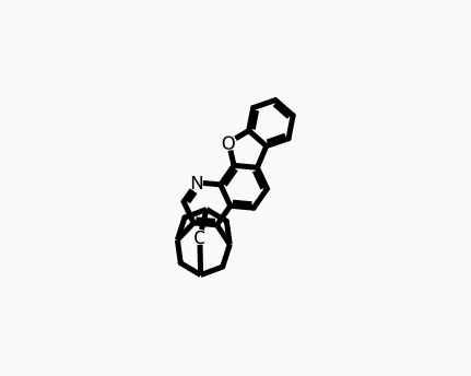 c1ccc2c(c1)oc1c2ccc2c3c(cnc21)C1CC2CC(C1)CC3C2